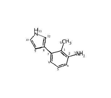 Cc1c(N)cccc1-c1cc[nH]c1